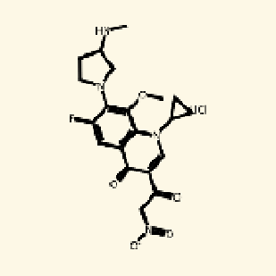 CNC1CCN(c2c(F)cc3c(=O)c(C(=O)C[N+](=O)[O-])cn(C4CC4)c3c2OC)C1.Cl